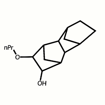 CCCOC1C(O)C2CC1C1C3CCC(C3)C21